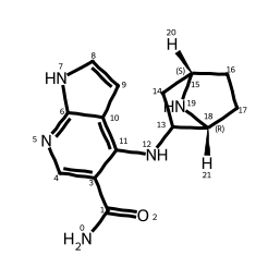 NC(=O)c1cnc2[nH]ccc2c1NC1C[C@@H]2CC[C@H]1N2